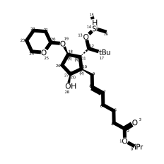 CC(C)OC(=O)CCCC=CC[C@@H]1[C@@H](C(O[SiH](C)C)C(C)(C)C)[C@H](OC2CCCCO2)C[C@@H]1O